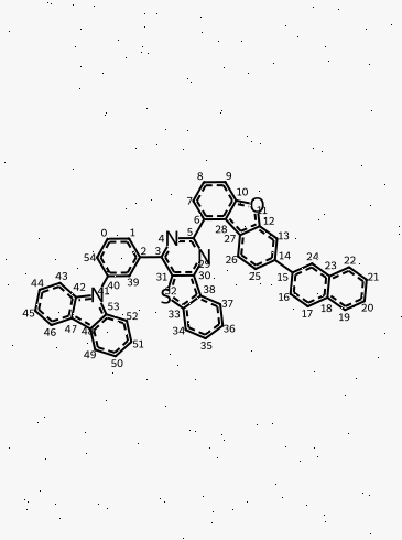 c1cc(-c2nc(-c3cccc4oc5cc(-c6ccc7ccccc7c6)ccc5c34)nc3c2sc2ccccc23)cc(-n2c3ccccc3c3ccccc32)c1